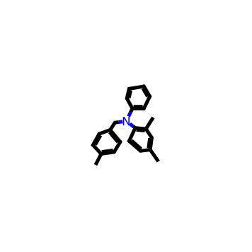 Cc1ccc(CN(c2ccccc2)c2ccc(C)cc2C)cc1